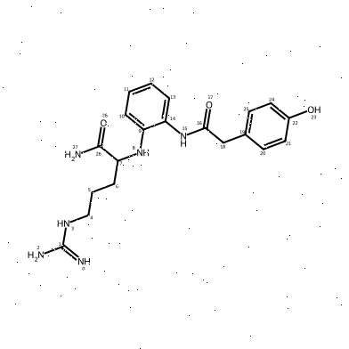 N=C(N)NCCCC(Nc1ccccc1NC(=O)Cc1ccc(O)cc1)C(N)=O